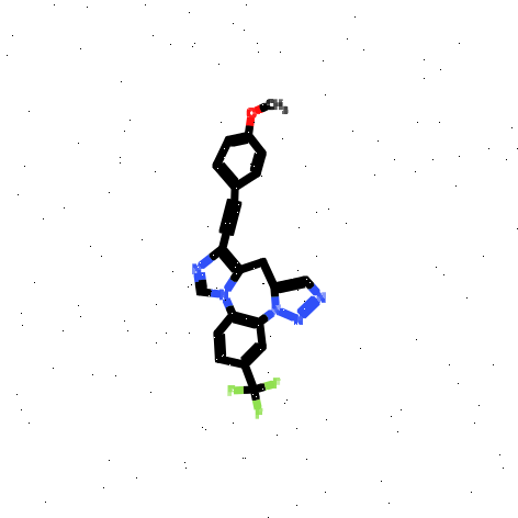 COc1ccc(C#Cc2ncn3c2Cc2cnnn2-c2cc(C(F)(F)F)ccc2-3)cc1